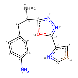 CC(=O)N[C@@H](Cc1ccc(N)cc1)c1nnc(-c2cscn2)o1